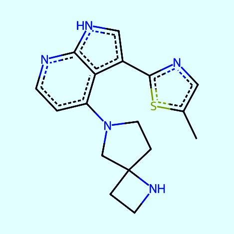 Cc1cnc(-c2c[nH]c3nccc(N4CCC5(CCN5)C4)c23)s1